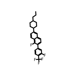 CCCC1CCC(c2ccc3c(F)c(-c4ccc(C(F)(F)F)c(F)c4)ccc3c2)CC1